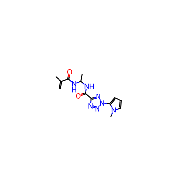 C=C(C)C(=O)NC(C)NC(=O)c1nnn(-c2cccn2C)n1